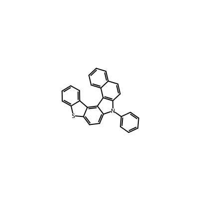 c1ccc(-n2c3ccc4ccccc4c3c3c4c(ccc32)sc2ccccc24)cc1